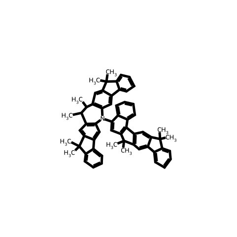 CC1c2cc3c(cc2N(c2cc4c(c5ccccc25)-c2cc5c(cc2C4(C)C)-c2ccccc2C5(C)C)c2cc4c(cc2C1C)C(C)(C)c1ccccc1-4)-c1ccccc1C3(C)C